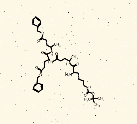 CC(CCC(=O)NC(CCC(=O)OCc1ccccc1)C(=O)NC(C)CCC(=O)OCc1ccccc1)NC(=O)C(N)CCCCNC(=O)OC(C)(C)C